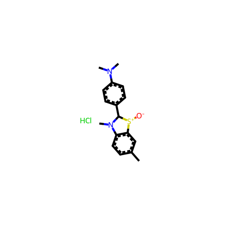 Cc1ccc2c(c1)[S+]([O-])C(c1ccc(N(C)C)cc1)N2C.Cl